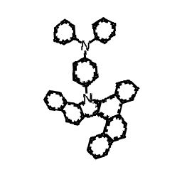 c1ccc(N(c2ccccc2)c2ccc(-n3c4c5ccccc5ccc4c4c5c6ccccc6ccc5c5ccccc5c43)cc2)cc1